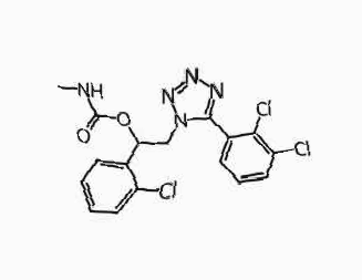 CNC(=O)OC(Cn1nnnc1-c1cccc(Cl)c1Cl)c1ccccc1Cl